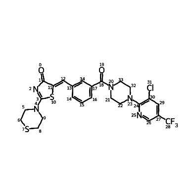 O=C1N=C(N2CCSCC2)SC1=Cc1cccc(C(=O)N2CCN(c3ncc(C(F)(F)F)cc3Cl)CC2)c1